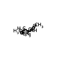 CCOc1ccc(NC(=O)C=C(C)C=CC=C(C)C=CC2=C(C)CCCC2(C)C)cc1